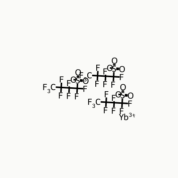 O=S(=O)([O-])C(F)(F)C(F)(F)C(F)(F)C(F)(F)F.O=S(=O)([O-])C(F)(F)C(F)(F)C(F)(F)C(F)(F)F.O=S(=O)([O-])C(F)(F)C(F)(F)C(F)(F)C(F)(F)F.[Yb+3]